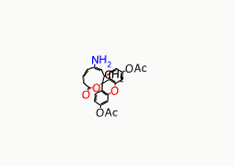 C=C1/C=C(N)\C=C/CC(=O)OC12c1ccc(OC(C)=O)cc1Oc1cc(OC(C)=O)ccc12